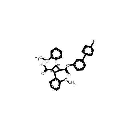 COc1ccccc1C1C(C(=O)Oc2cccc(-c3ccc(F)cc3)c2)[C@@H](c2ccccc2OC)[C@@H]1C(=O)O